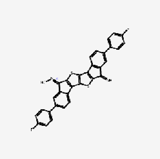 N#C/N=c1\c2cc(-c3ccc(F)cc3)ccc2c2c1sc1c2sc2c(=N)c3cc(-c4ccc(F)cc4)ccc3c21